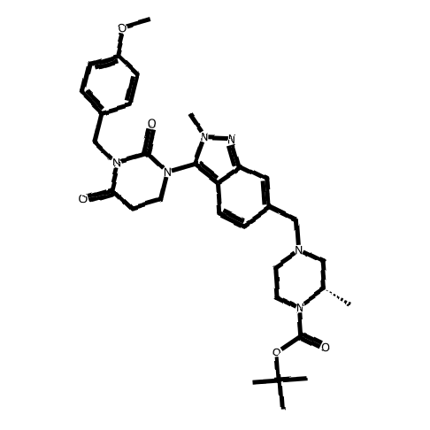 COc1ccc(CN2C(=O)CCN(c3c4ccc(CN5CCN(C(=O)OC(C)(C)C)[C@@H](C)C5)cc4nn3C)C2=O)cc1